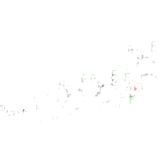 CCCCCC1CCC(c2ccc(-c3ccc(C(F)(F)Oc4cc(F)c(F)c(F)c4)c(F)c3F)c(F)c2F)CC1